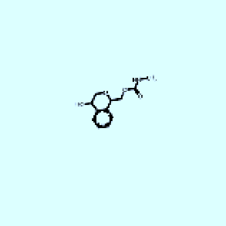 CNC(=O)OCC1OCC(O)c2ccccc21